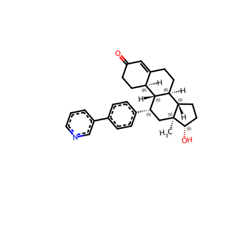 C[C@]12C[C@H](c3ccc(-c4cccnc4)cc3)[C@H]3[C@@H](CCC4=CC(=O)CC[C@@H]43)[C@@H]1CC[C@@H]2O